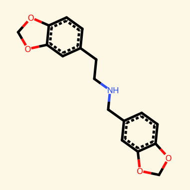 c1cc2c(cc1CCNCc1ccc3c(c1)OCO3)OCO2